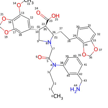 CCCCN(C(=O)CN1C[C@H](c2cc(OC)c3c(c2)OCO3)[C@@H](C(=O)O)[C@@H]1CCc1cccc2c1OCO2)c1cccc(CN)c1